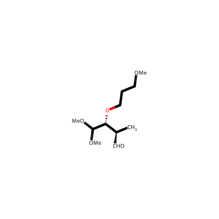 COCCCO[C@@H](C(OC)OC)[C@@H](C)C=O